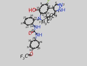 Cc1[nH]ncc1-c1c(F)cc(O)c2c1C(C)(C)CN2c1ccccc1NC(=O)Nc1ccc(OC(F)(F)F)cc1